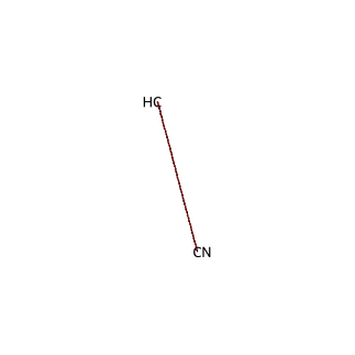 C#CC#CC#CC#CC#CC#CC#CC#CC#CC#CC#CC#CC#CC#CC#CC#CC#CC#CC#CC#CC#CC#CC#CC#CC#CC#CC#CC#CC#CC#CC#CC#CC#CC#CC#CC#CC#CC#CC#CC#CC#CC#CC#CC#CC#CC#CC#CC#CC#CC#CC#CC#CC#N